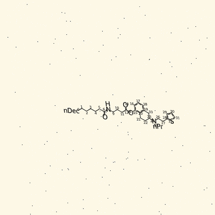 CCCCCCCCCCCCCCCC(=O)NCCCC(=O)Oc1cccc2c1CCC(N(CCC)CCc1cccs1)C2